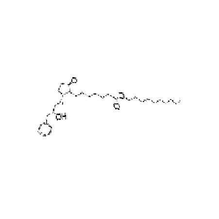 CCCCCCCCCCOC(=O)CCCCCCC1C(=O)CCC1SCC(O)Cc1ccccc1